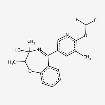 Cc1cc(C2=NC(C)(C)C(C)Oc3ccccc32)cnc1OC(F)F